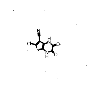 N#Cc1c(Cl)sc2[nH]c(=O)c(=O)[nH]c12